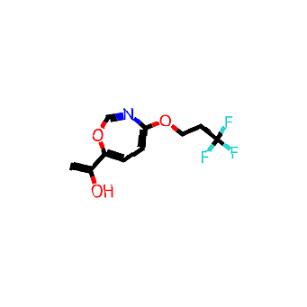 C=C(O)C1=CC=C(OCCC(F)(F)F)N=CO1